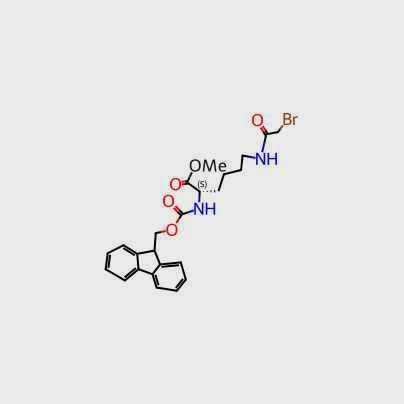 COC(=O)[C@H](CCCCNC(=O)CBr)NC(=O)OCC1c2ccccc2-c2ccccc21